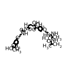 C=C(C)C(=O)NC(C)(C)C(=N)NCCOc1ccc(C(=O)C(C)(O)C/C=C\C(=O)NCC(=O)NCCOc2ccc(C(=O)C(C)(C)O)cc2)cc1